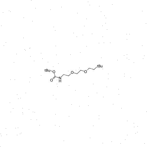 CC(C)(C)CCOCCOCCNC(=O)OC(C)(C)C